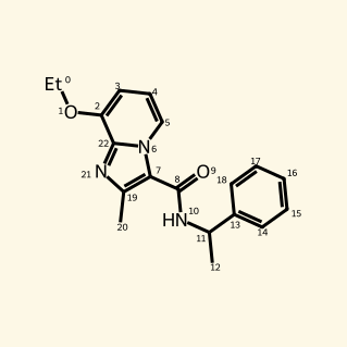 CCOc1cccn2c(C(=O)NC(C)c3ccccc3)c(C)nc12